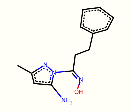 Cc1cc(N)n(C(CCc2ccccc2)=NO)n1